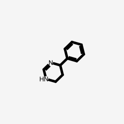 C1=NC(c2ccccc2)CCN1